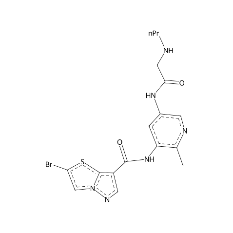 CCCNCC(=O)Nc1cnc(C)c(NC(=O)c2cnn3cc(Br)sc23)c1